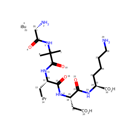 CC[C@H](C)[C@H](N)C(=O)NC(C)(C)C(=O)N[C@@H](CC(C)C)C(=O)N[C@@H](CC(=O)O)C(=O)N[C@@H](CCCCN)C(=O)O